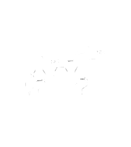 Cc1cnc(-c2cc(OC3CCNCC3)cc(C(=O)N[C@H](C)c3cnc(C(F)(F)F)nc3)c2)s1